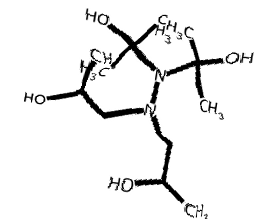 CC(O)CN(CC(C)O)N(C(C)(C)O)C(C)(C)O